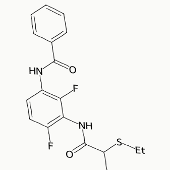 CCSC(C)C(=O)Nc1c(F)ccc(NC(=O)c2ccccc2)c1F